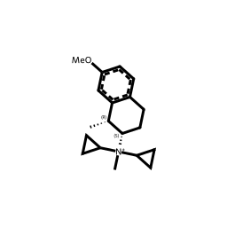 COc1ccc2c(c1)[C@@H](C)[C@@H]([N+](C)(C1CC1)C1CC1)CC2